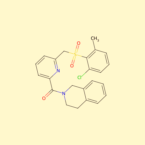 Cc1cccc(Cl)c1S(=O)(=O)Cc1cccc(C(=O)N2CCc3ccccc3C2)n1